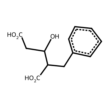 O=C(O)CC(O)C(Cc1ccccc1)C(=O)O